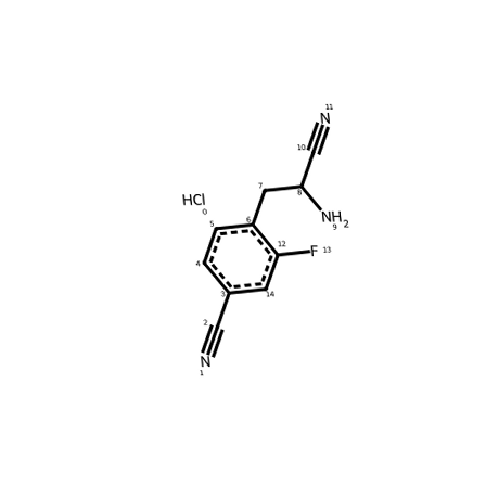 Cl.N#Cc1ccc(CC(N)C#N)c(F)c1